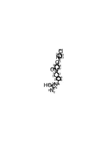 CN(C)[C@H]1CN(Cc2ccc3c(c2)CCC(n2ccc(OCc4ccc(Cl)cn4)cc2=O)=C3)C[C@@H]1O